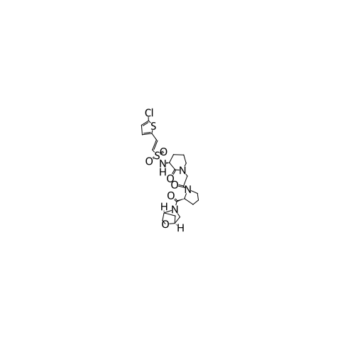 O=C1[C@@H](NS(=O)(=O)/C=C/c2ccc(Cl)s2)CCCN1CC(=O)N1CCC[C@H]1C(=O)N1C[C@@H]2C[C@H]1CO2